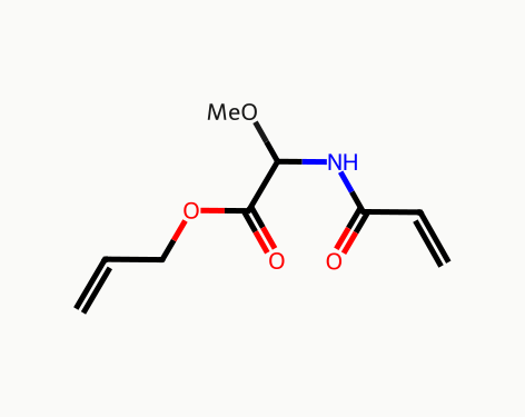 C=CCOC(=O)C(NC(=O)C=C)OC